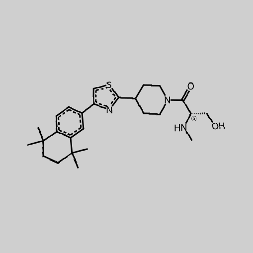 CN[C@@H](CO)C(=O)N1CCC(c2nc(-c3ccc4c(c3)C(C)(C)CCC4(C)C)cs2)CC1